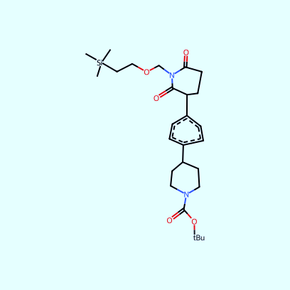 CC(C)(C)OC(=O)N1CCC(c2ccc(C3CCC(=O)N(COCC[Si](C)(C)C)C3=O)cc2)CC1